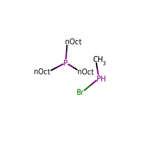 CCCCCCCCP(CCCCCCCC)CCCCCCCC.CPBr